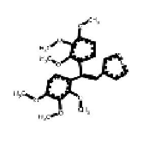 COc1ccc(C(=Cc2ccccc2)c2ccc(OC)c(OC)c2OC)c(OC)c1OC